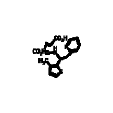 CCNC(Cc1ccccn1)c1sccc1C.O=C(O)/C=C/C(=O)O